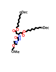 CCCCCCCCCCCCCCCCCCOC(=O)CC(CC(=O)OCCCCCCCCCCCCCCCCCC)NC(=O)CN1CC(OCCOC)C1